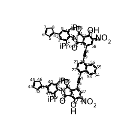 CC(C)c1cc(C2=CC=CC2)cc(C(C)C)c1N1C(=O)c2c(C#Cc3ccc(C#Cc4cc([N+](=O)[O-])c(O)c5c4C(=O)N(c4c(C(C)C)cc(C6=CC=CC6)cc4C(C)C)C5=O)c4ccccc34)cc([N+](=O)[O-])c(O)c2C1=O